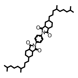 CC(C)CCCC(C)CCCC1CCC2C(=O)N(c3ccc(N4C(=O)C5CCC(CCCC(C)CCCC(C)C)CC5C4=O)cc3)C(=O)C2C1